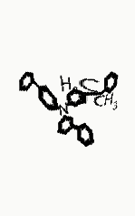 CC(C)(c1ccccc1)c1ccc(N(c2ccc(-c3ccccc3)cc2)c2cccc(-c3ccccc3)c2)cc1